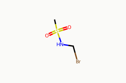 CS(=O)(=O)NCBr